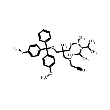 C#CCOCC(C)(COP(C)N(C(C)C)C(C)C)COC(c1ccccc1)(c1ccc(OC)cc1)c1ccc(OC)cc1